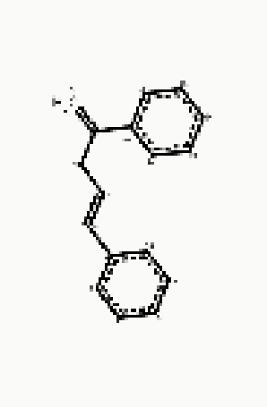 C=C(CC=Cc1ccccc1)c1ccccc1